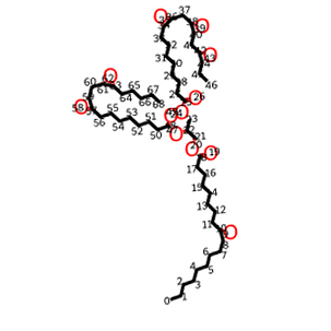 CCCCCCCCC1OC1CCCCCCCC(=O)OCC(COC(=O)CCCCCCCC1OC1CC1OC1CC1OC1CC)OC(=O)CCCCCCCC1OC1CC1OC1CCCCC